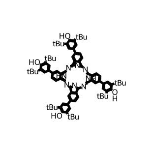 CC(C)(C)c1cc(-c2ccc3c(c2)-c2nc-3nc3[nH]c(nc4nc(nc5[nH]c(n2)c2ccc(-c6cc(C(C)(C)C)c(O)c(C(C)(C)C)c6)cc52)-c2cc(-c5cc(C(C)(C)C)c(O)c(C(C)(C)C)c5)ccc2-4)c2ccc(-c4cc(C(C)(C)C)c(O)c(C(C)(C)C)c4)cc32)cc(C(C)(C)C)c1O